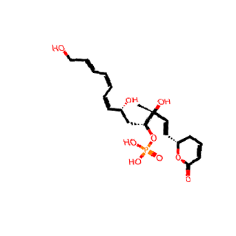 C[C@@](O)(/C=C/[C@@H]1CC=CC(=O)O1)[C@@H](C[C@@H](O)\C=C/C=C\C=C\CO)OP(=O)(O)O